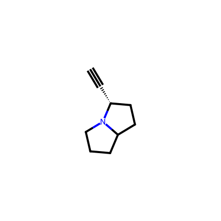 C#C[C@@H]1CCC2CCCN21